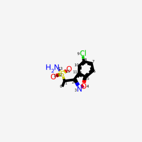 CC(c1noc2ccc(Cl)cc12)S(N)(=O)=O